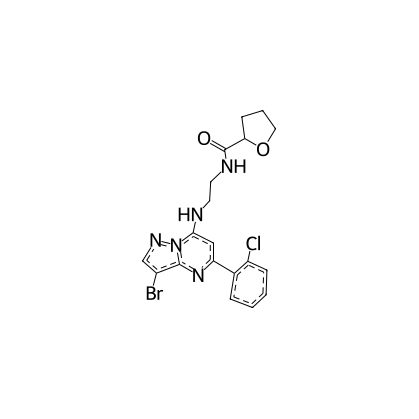 O=C(NCCNc1cc(-c2ccccc2Cl)nc2c(Br)cnn12)C1CCCO1